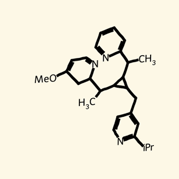 COC1=CC=NC(C(C)C2C(Cc3ccnc(C(C)C)c3)C2C(C)c2ccccn2)C1